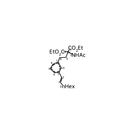 CCCCCC/C=C/c1cccc(CCC(NC(C)=O)(C(=O)OCC)C(=O)OCC)c1